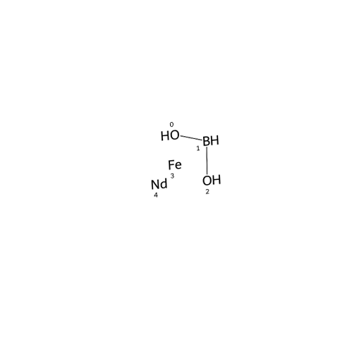 OBO.[Fe].[Nd]